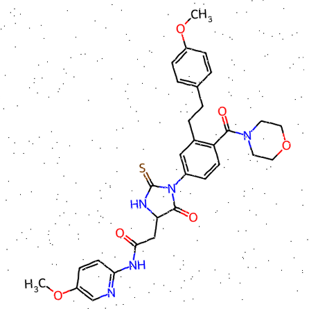 COc1ccc(CCc2cc(N3C(=O)C(CC(=O)Nc4ccc(OC)cn4)NC3=S)ccc2C(=O)N2CCOCC2)cc1